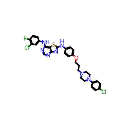 Fc1ccc(Nc2ncnc3nc(Nc4ccc(OCCCN5CCN(c6ccc(Cl)cc6)CC5)cc4)sc23)cc1Cl